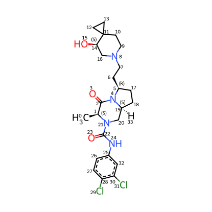 C[C@H]1C(=O)N2[C@@H](CCN3CCC4(CC4)[C@H](O)C3)CC[C@H]2CN1C(=O)Nc1ccc(Cl)c(Cl)c1